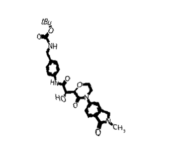 CN1Cc2cc(N3CCO[C@H]([C@@H](O)C(=O)Nc4ccc(CNC(=O)OC(C)(C)C)cc4)C3=O)ccc2C1=O